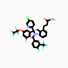 CC(=O)CCc1ccccc1C[C@](NC(=O)c1ccc(F)c(C(F)(F)F)c1)(c1cc(F)cc(OC(F)(F)C(F)F)c1)c1ccc(Cl)cn1